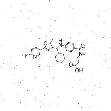 Cc1oc(-c2ccc(F)nc2)cc1C(Nc1ccc(C(=O)N(C)CCC(=O)O)cc1)C1CCCCC1